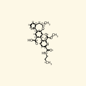 CCCNC(=O)c1ccc(-c2cc3c(cc2C(=O)O)-c2sccc2C[C@H](C)O3)c(C(=O)OC)n1